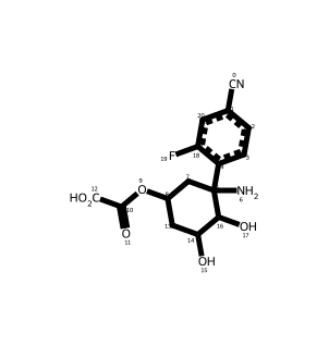 N#Cc1ccc(C2(N)CC(OC(=O)C(=O)O)CC(O)C2O)c(F)c1